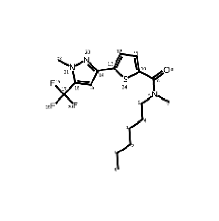 CCCCCCN(C)C(=O)c1ccc(-c2cc(C(F)(F)F)n(C)n2)s1